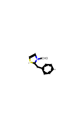 O=CN1C=CSC1Cc1ccccc1